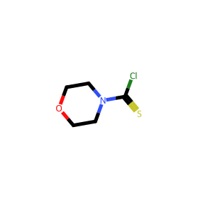 S=C(Cl)N1CCOCC1